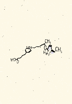 C/C=C(C)\C=C/C(C)OC(C)CCCCNc1ccc(CCCCC(=O)O)cc1